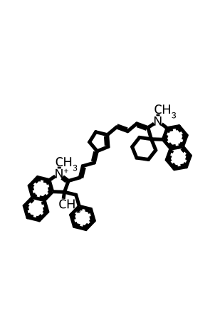 CN1/C(=C/C=C/C2=CC(=C/C=C/C3=[N+](C)c4ccc5ccccc5c4C3(C)Cc3ccccc3)/CC2)C2(CCCCC2)c2c1ccc1ccccc21